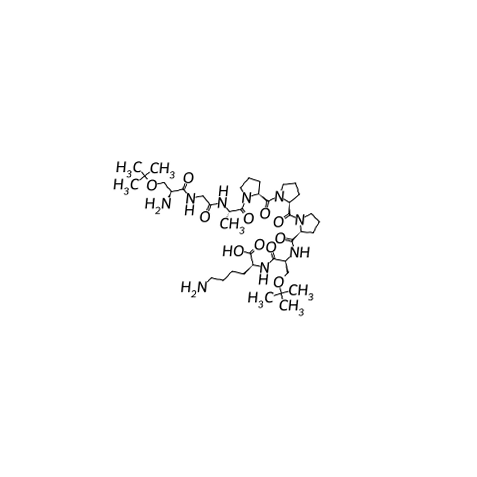 C[C@H](NC(=O)CNC(=O)[C@@H](N)COC(C)(C)C)C(=O)N1CCC[C@H]1C(=O)N1CCC[C@H]1C(=O)N1CCC[C@H]1C(=O)N[C@@H](COC(C)(C)C)C(=O)N[C@@H](CCCCN)C(=O)O